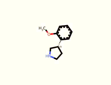 COc1ccccc1[C@@H]1CCNC1